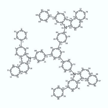 c1ccc(-c2ccc3c4c5ccccc5ccc4n(-c4ccc(-c5cc(-c6ccc(-n7c8cc(-c9ccccc9)ccc8c8c9ccccc9ccc87)cc6)cc(-c6ccc(-n7c8cc(-c9ccccc9)ccc8c8c9ccccc9ccc87)cc6)c5)cc4)c3c2)cc1